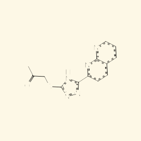 CC(=O)CSc1nnc(-c2ccc3cccnc3n2)[nH]1